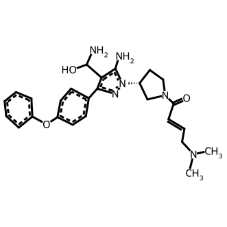 CN(C)C/C=C/C(=O)N1CC[C@@H](n2nc(-c3ccc(Oc4ccccc4)cc3)c(C(N)O)c2N)C1